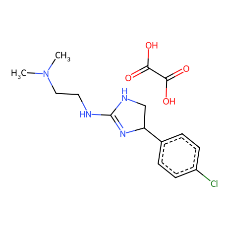 CN(C)CCNC1=NC(c2ccc(Cl)cc2)CN1.O=C(O)C(=O)O